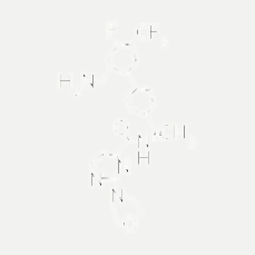 C[C@@H](NC(=O)c1ccnc(N2CCOCC2)n1)c1ccc(-c2cc(C(F)(F)F)c(F)cc2CN)cc1